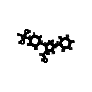 CS(=O)(=O)c1ccc(-c2nn(-c3ccccc3)cc2C=O)cc1